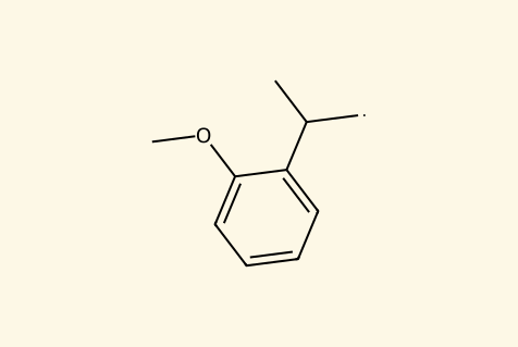 [CH2]C(C)c1ccccc1OC